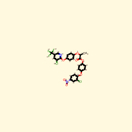 CC(Oc1ccc(Oc2ncc(C(F)(F)F)cc2Cl)cc1)C(=O)Oc1ccc(Oc2ccc([N+](=O)[O-])cc2Cl)cc1